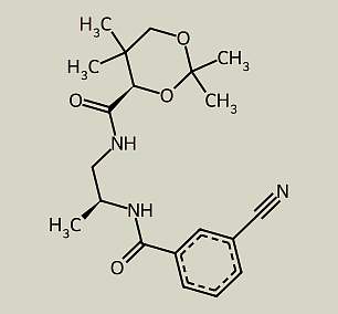 C[C@@H](CNC(=O)[C@@H]1OC(C)(C)OCC1(C)C)NC(=O)c1cccc(C#N)c1